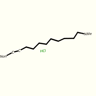 CCCCCCCCCCCCCCCCCCCCNC.Cl